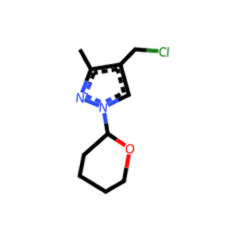 Cc1nn(C2CCCCO2)cc1CCl